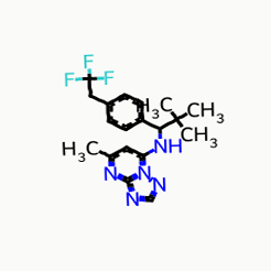 Cc1cc(NC(c2ccc(CC(F)(F)F)cc2)C(C)(C)C)n2ncnc2n1